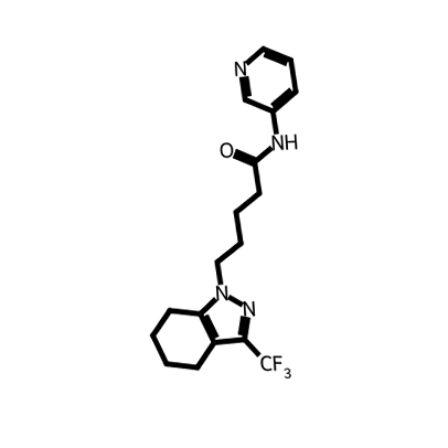 O=C(CCCCn1nc(C(F)(F)F)c2c1CCCC2)Nc1cccnc1